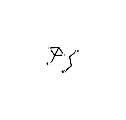 CC12OC1O2.OCCO